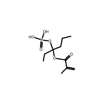 C=C(C)C(=O)OC(CC)(CCC)OP(=O)(O)O